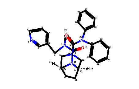 CN(Cc1cccnc1)C(=O)N1[C@@H]2CC[C@H]1CN(C(=O)N(c1ccccc1)c1ccccc1)C2